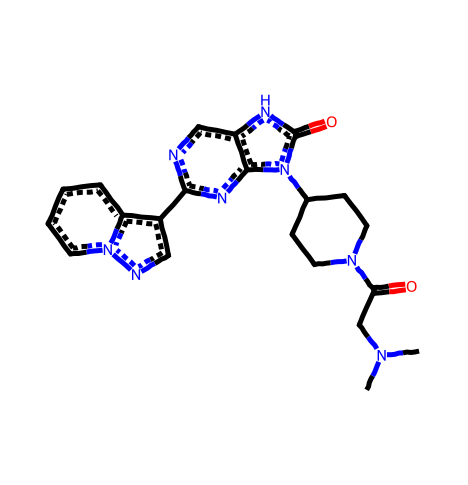 CN(C)CC(=O)N1CCC(n2c(=O)[nH]c3cnc(-c4cnn5ccccc45)nc32)CC1